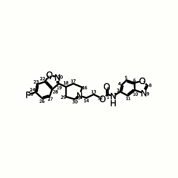 O=C(Nc1ccc2ocnc2c1)OCCN1CCC(c2noc3cc(F)ccc23)CC1